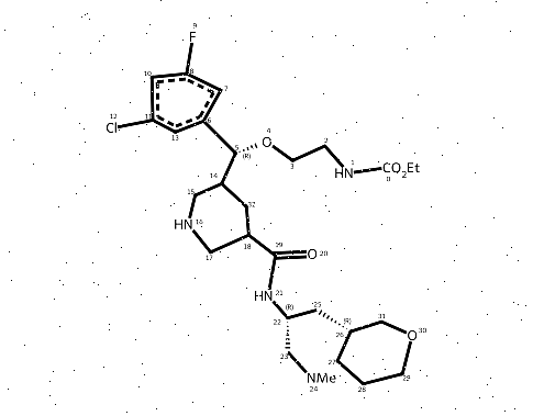 CCOC(=O)NCCO[C@@H](c1cc(F)cc(Cl)c1)C1CNCC(C(=O)N[C@@H](CNC)C[C@H]2CCCOC2)C1